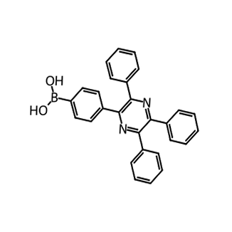 OB(O)c1ccc(-c2nc(-c3ccccc3)c(-c3ccccc3)nc2-c2ccccc2)cc1